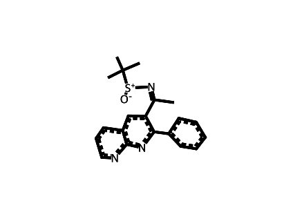 C/C(=N/[S+]([O-])C(C)(C)C)c1cc2cccnc2nc1-c1ccccc1